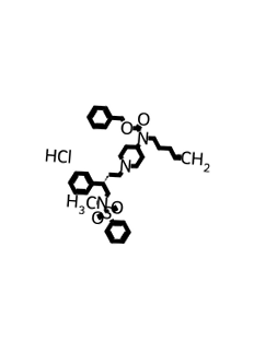 C=CCCCN(C(=O)OCc1ccccc1)C1CCN(CC[C@H](CN(C)S(=O)(=O)c2ccccc2)c2ccccc2)CC1.Cl